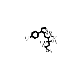 CC(=O)CC(C)(C)C(Cc1[nH]ccc1-c1ccc(C)cc1)[N+](=O)[O-]